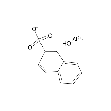 O=S(=O)([O-])c1ccc2ccccc2c1.[Al+2].[OH-]